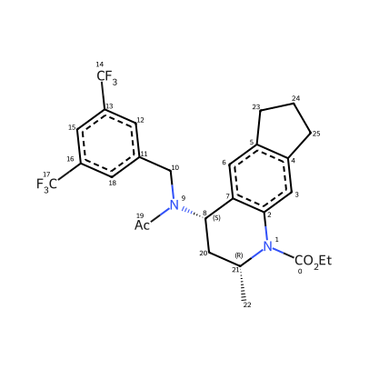 CCOC(=O)N1c2cc3c(cc2[C@@H](N(Cc2cc(C(F)(F)F)cc(C(F)(F)F)c2)C(C)=O)C[C@H]1C)CCC3